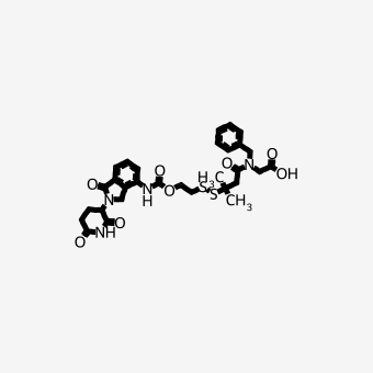 CC(C)(CC(=O)N(CC(=O)O)Cc1ccccc1)SSCCOC(=O)Nc1cccc2c1CN(C1CCC(=O)NC1=O)C2=O